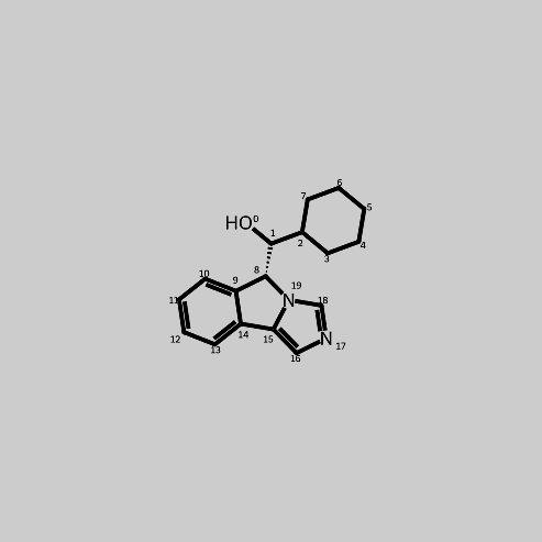 OC(C1CCCCC1)[C@H]1c2ccccc2-c2cncn21